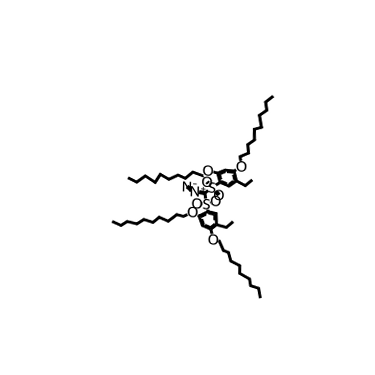 CCCCCCCCCCOc1cc(OCCCCCCCCCC)c(S(=O)(=O)C(=[N+]=[N-])S(=O)(=O)c2cc(CC)c(OCCCCCCCCCC)cc2OCCCCCCCCCC)cc1CC